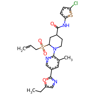 C=CCS(=O)(=O)C1CC(C(=O)Nc2ccc(Cl)s2)CCN1c1ncc(-c2ncc(CC)o2)cc1C